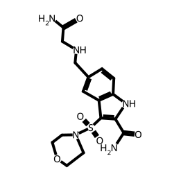 NC(=O)CNCc1ccc2[nH]c(C(N)=O)c(S(=O)(=O)N3CCOCC3)c2c1